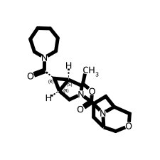 CCOC(=O)N1C2COCC1CC(N1C[C@@H]3[C@H](C1)[C@H]3C(=O)N1CCCCCC1)C2